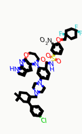 CC1(C)CCC(CN2CCN(c3ccc(C(=O)NS(=O)(=O)c4ccc(OCC5(F)CCC(F)(F)CC5)c([N+](=O)[O-])c4)c(N4CCCOc5nc6[nH]ccc6cc54)c3)CC2)=C(c2ccc(Cl)cc2)C1